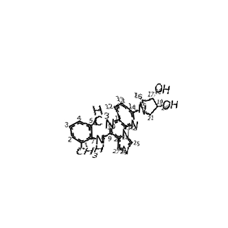 Cc1cccc(C)c1Nc1nc2ccc(N3C[C@H](O)[C@@H](O)C3)nc2n2cncc12